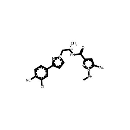 CC(=O)c1cc(C(=O)N[C@@H](C)Cn2ccc(-c3ccc(C#N)c(Cl)c3)n2)nn1PI